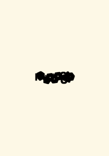 Cc1cccc(C)c1C(=O)O[C@H]1CC[C@@]2(C)C(=CCC3C4=CC=C(c5cccnc5)[C@@]4(C)CCC32)C1